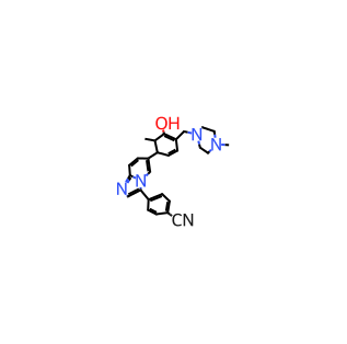 CC1C(O)=C(CN2CCN(C)CC2)C=CC1c1ccc2ncc(-c3ccc(C#N)cc3)n2c1